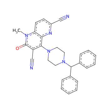 Cn1c(=O)c(C#N)c(N2CCN(C(c3ccccc3)c3ccccc3)CC2)c2nc(C#N)ccc21